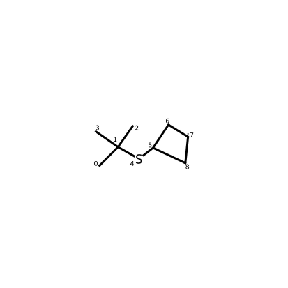 CC(C)(C)SC1C[CH]C1